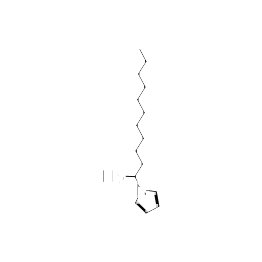 CCCCCCCCCCC(S)n1cccc1